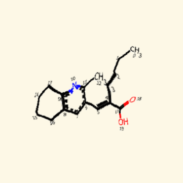 CCCC/C(=C\c1cc2c(nc1C)CCCC2)C(=O)O